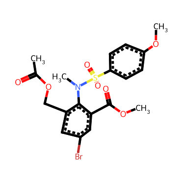 COC(=O)c1cc(Br)cc(COC(C)=O)c1N(C)S(=O)(=O)c1ccc(OC)cc1